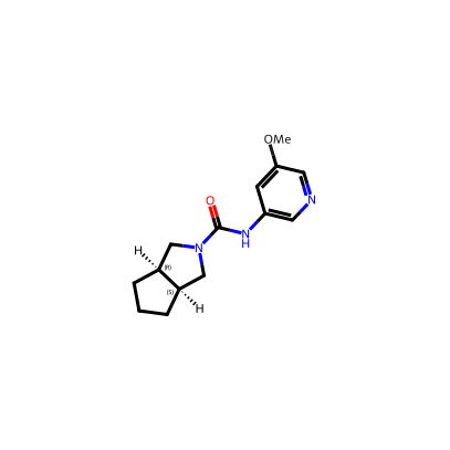 COc1cncc(NC(=O)N2C[C@H]3CCC[C@H]3C2)c1